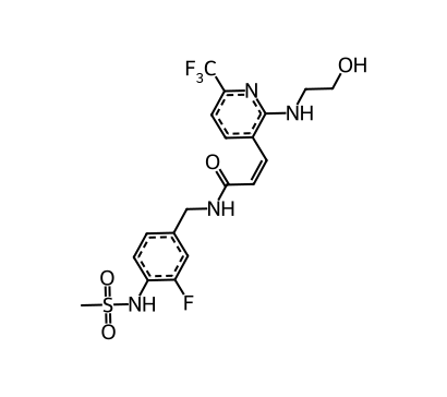 CS(=O)(=O)Nc1ccc(CNC(=O)/C=C\c2ccc(C(F)(F)F)nc2NCCO)cc1F